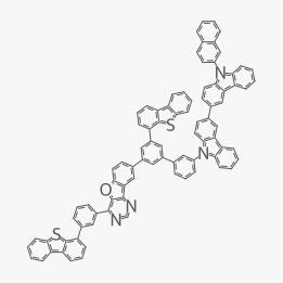 c1cc(-c2ncnc3c2oc2ccc(-c4cc(-c5cccc(-n6c7ccccc7c7cc(-c8ccc9c(c8)c8ccccc8n9-c8ccc9ccccc9c8)ccc76)c5)cc(-c5cccc6c5sc5ccccc56)c4)cc23)cc(-c2cccc3c2sc2ccccc23)c1